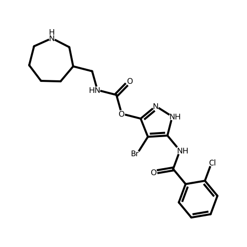 O=C(NCC1CCCCNC1)Oc1n[nH]c(NC(=O)c2ccccc2Cl)c1Br